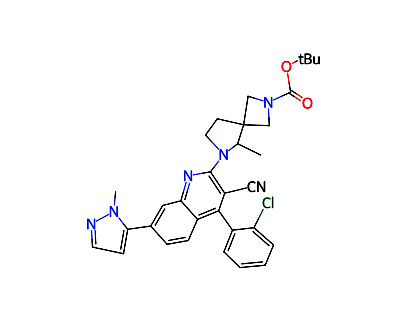 CC1N(c2nc3cc(-c4ccnn4C)ccc3c(-c3ccccc3Cl)c2C#N)CCC12CN(C(=O)OC(C)(C)C)C2